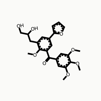 COc1cc(C(=O)c2cc(-c3ccco3)cc(CC(O)CO)c2OC)cc(OC)c1OC